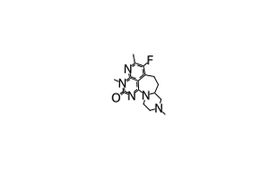 Cc1nc2c3c(nc(=O)n2C)N2CCN(C)CC2CCc3c1F